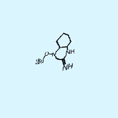 CC(C)(C)ON1CC(=N)NC2CCCCC21